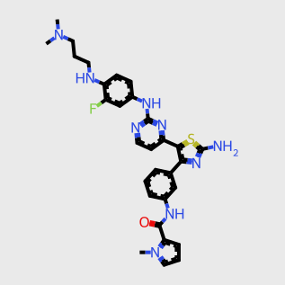 CN(C)CCCNc1ccc(Nc2nccc(-c3sc(N)nc3-c3cccc(NC(=O)c4cccn4C)c3)n2)cc1F